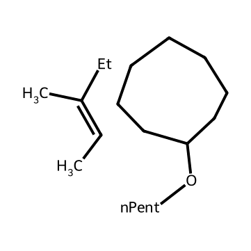 CC=C(C)CC.CCCCCOC1CCCCCCC1